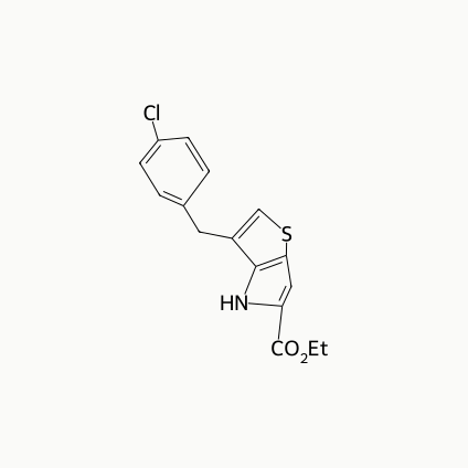 CCOC(=O)c1cc2scc(Cc3ccc(Cl)cc3)c2[nH]1